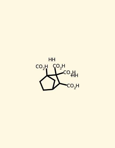 O=C(O)C1C2CCC(C(=O)O)(C2)C1(C(=O)O)C(=O)O.[HH].[HH]